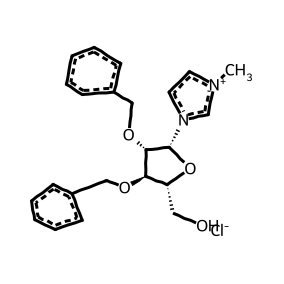 C[n+]1ccn([C@@H]2O[C@H](CO)[C@@H](OCc3ccccc3)[C@@H]2OCc2ccccc2)c1.[Cl-]